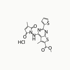 COC(=O)c1sc2nc(-c3cccs3)nc(NN3C(=O)C=C(C)C3=O)c2c1C.Cl